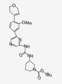 COc1cc(-c2cncc(NC(=O)NC3CCCN(C(=O)OC(C)(C)C)C3)n2)ccc1C1=CCOCC1